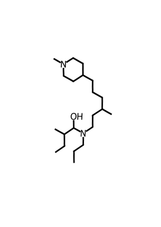 CCCN(CCC(C)CCCC1CCN(C)CC1)C(O)C(C)CC